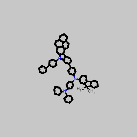 CC1(C)c2ccccc2-c2ccc(N(c3ccc(-c4ccc5c6c7ccc8cccc9ccc(cc6n(-c6ccc(-c%10ccccc%10)cc6)c5c4)c7c98)cc3)c3ccc(N(c4ccccc4)c4ccccc4)cc3)cc21